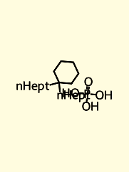 CCCCCCCC1(CCCCCCC)CCCCC1.O=P(O)(O)O